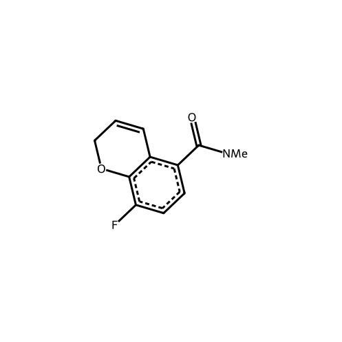 CNC(=O)c1ccc(F)c2c1C=CCO2